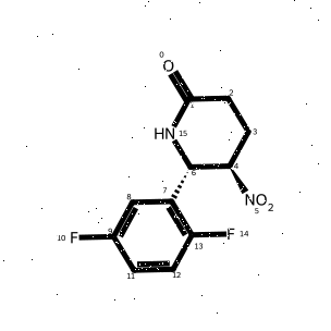 O=C1CC[C@@H]([N+](=O)[O-])[C@H](c2cc(F)ccc2F)N1